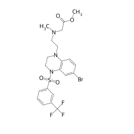 COC(=O)CN(C)CCN1CCN(S(=O)(=O)c2cccc(C(F)(F)F)c2)c2cc(Br)ccc21